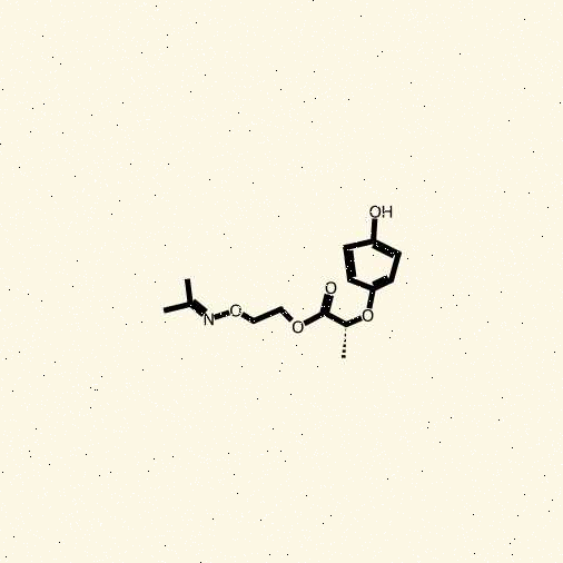 CC(C)=NOCCOC(=O)[C@@H](C)Oc1ccc(O)cc1